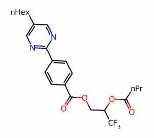 CCCCCCc1cnc(-c2ccc(C(=O)OCC(OC(=O)CCC)C(F)(F)F)cc2)nc1